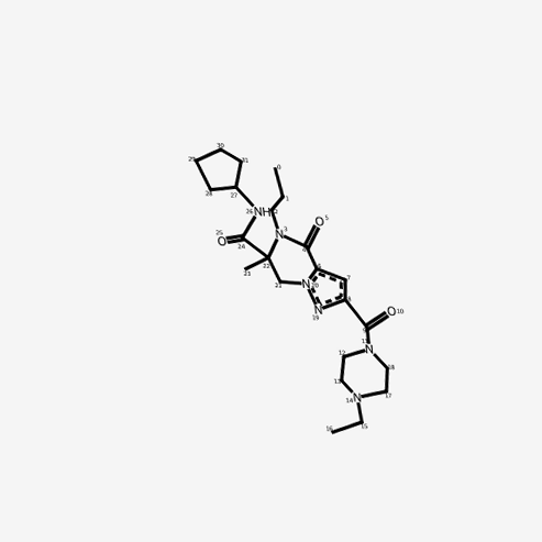 CCCN1C(=O)c2cc(C(=O)N3CCN(CC)CC3)nn2CC1(C)C(=O)NC1CCCC1